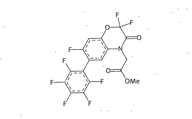 COC(=O)CN1C(=O)C(F)(F)Oc2cc(F)c(-c3c(F)c(F)c(F)c(F)c3F)cc21